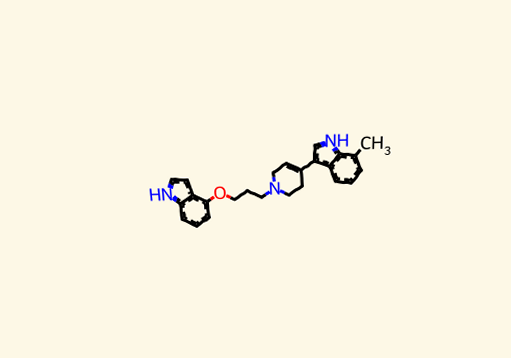 Cc1cccc2c(C3=CCN(CCCOc4cccc5[nH]ccc45)CC3)c[nH]c12